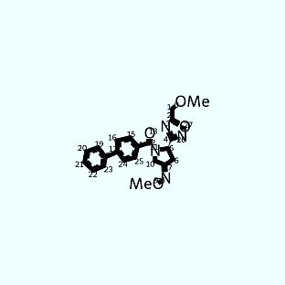 COCc1nc([C@@H]2CC(=NOC)CN2C(=O)c2ccc(-c3ccccc3)cc2)no1